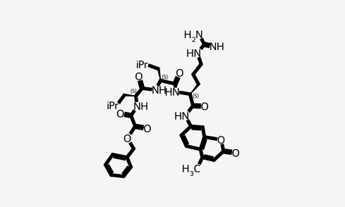 Cc1cc(=O)oc2cc(NC(=O)[C@H](CCCNC(=N)N)NC(=O)[C@H](CC(C)C)NC(=O)[C@H](CC(C)C)NC(=O)C(=O)OCc3ccccc3)ccc12